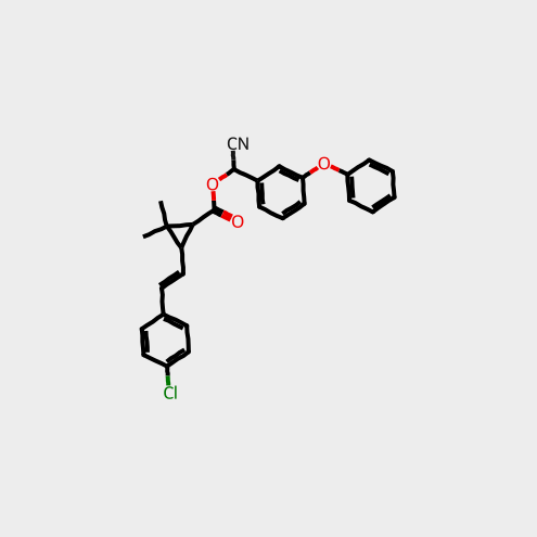 CC1(C)C(C=Cc2ccc(Cl)cc2)C1C(=O)OC(C#N)c1cccc(Oc2ccccc2)c1